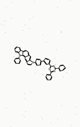 c1ccc(-c2nc(-c3ccccc3)nc(-c3cccc(-c4ccc(-n5ccc6cc7c(ccc8c9ccccc9n(-c9ccccc9)c78)cc65)cc4)c3)n2)cc1